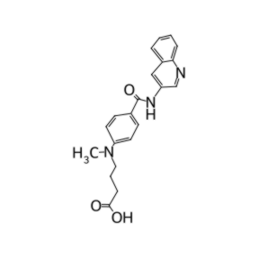 CN(CCCC(=O)O)c1ccc(C(=O)Nc2cnc3ccccc3c2)cc1